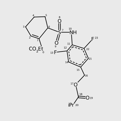 CCOC(=O)C1=CCCCC1S(=O)(=O)Nc1c(F)cc(COC(=O)C(C)C)cc1F